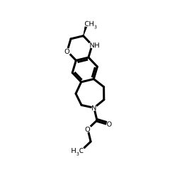 CCOC(=O)N1CCc2cc3c(cc2CC1)OC[C@@H](C)N3